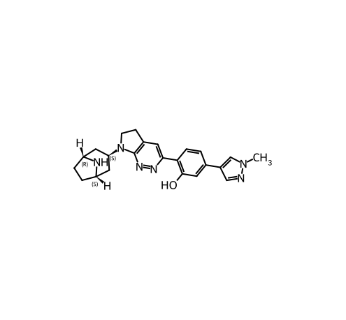 Cn1cc(-c2ccc(-c3cc4c(nn3)N([C@@H]3C[C@H]5CC[C@@H](C3)N5)CC4)c(O)c2)cn1